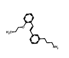 CCCOc1ccccc1C=Cc1cccc(CCCN)c1